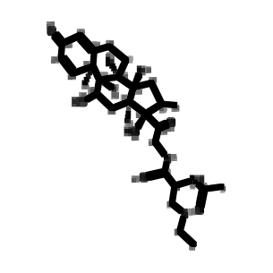 CCSCC(NC(C)=O)C(=O)SCC(=O)[C@@]1(O)C(C)C[C@H]2[C@@H]3CCC4=CC(=O)C=C[C@]4(C)[C@@]3(F)C(O)C[C@@]21C